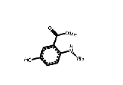 CC[C@H](C)Nc1ccc(O)cc1C(=O)OC